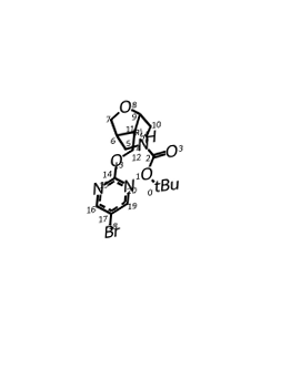 CC(C)(C)OC(=O)N1CC2COC(C1)[C@H]2COc1ncc(Br)cn1